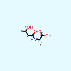 CC(O)CC(=O)N[C@@H](C)C(=O)O